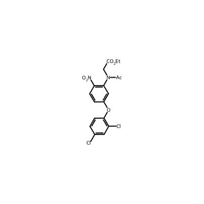 CCOC(=O)CN(C(C)=O)c1cc(Oc2ccc(Cl)cc2Cl)ccc1[N+](=O)[O-]